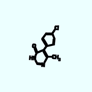 Cc1nc[nH]c(=O)c1-c1ccc(Cl)cc1